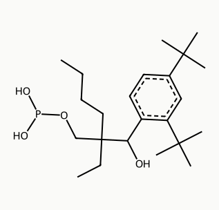 CCCCC(CC)(COP(O)O)C(O)c1ccc(C(C)(C)C)cc1C(C)(C)C